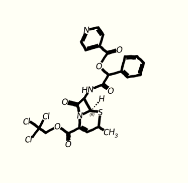 CC1C=C(C(=O)OCC(Cl)(Cl)Cl)N2C(=O)C(NC(=O)C(OC(=O)c3ccncc3)c3ccccc3)[C@H]2S1